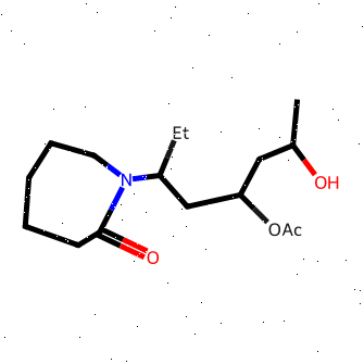 CCC(CC(CC(C)O)OC(C)=O)N1CCCCCC1=O